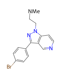 CNCCn1nc(-c2ccc(Br)cc2)c2cnccc21